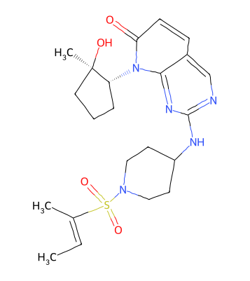 C/C=C(\C)S(=O)(=O)N1CCC(Nc2ncc3ccc(=O)n([C@@H]4CCC[C@@]4(C)O)c3n2)CC1